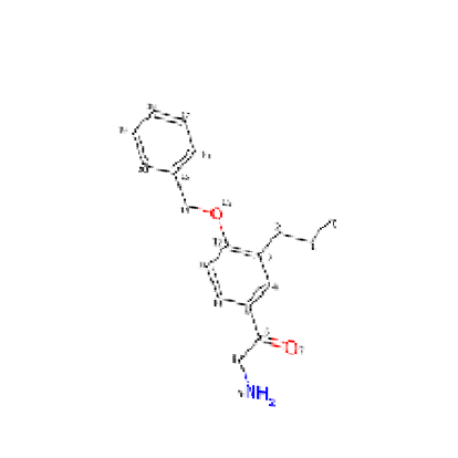 CCCc1cc(C(=O)CN)ccc1OCc1ccccc1